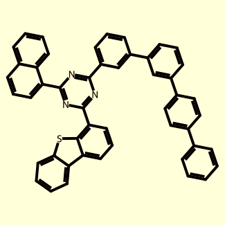 c1ccc(-c2ccc(-c3cccc(-c4cccc(-c5nc(-c6cccc7ccccc67)nc(-c6cccc7c6sc6ccccc67)n5)c4)c3)cc2)cc1